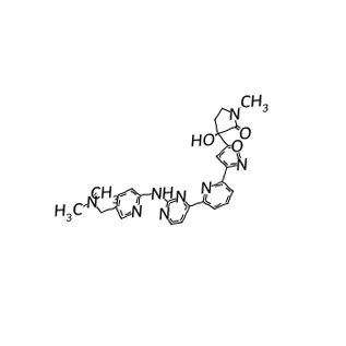 CN(C)Cc1ccc(Nc2nccc(-c3cccc(-c4cc([C@]5(O)CCN(C)C5=O)on4)n3)n2)nc1